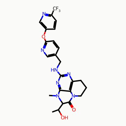 CC(O)C1C(=O)N2CCCc3nc(NCc4ccc(Oc5ccc(C(F)(F)F)nc5)nc4)nc(c32)N1C